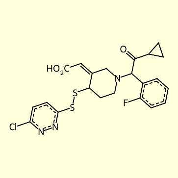 O=C(O)/C=C1/CN(C(C(=O)C2CC2)c2ccccc2F)CCC1SSc1ccc(Cl)nn1